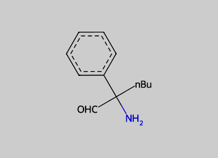 CCCCC(N)(C=O)c1ccccc1